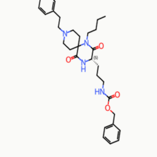 CCCCN1C(=O)[C@H](CCCNC(=O)OCc2ccccc2)NC(=O)C12CCN(CCc1ccccc1)CC2